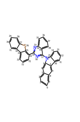 c1ccc2cc3c(cc2c1)c1ccccc1n3-c1nc(-c2cccc3c2sc2ccccc23)nc2ccccc12